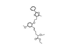 CCOC(=O)C(CCC=Cc1cc(OC)ccc1OCCc1nc(-c2ccccc2)oc1C)OCC